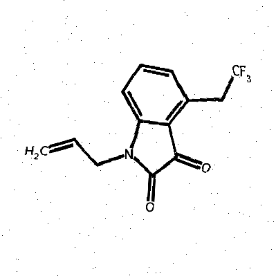 C=CCN1C(=O)C(=O)c2c(CC(F)(F)F)cccc21